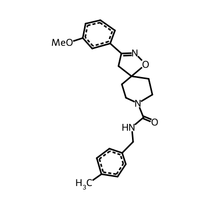 COc1cccc(C2=NOC3(CCN(C(=O)NCc4ccc(C)cc4)CC3)C2)c1